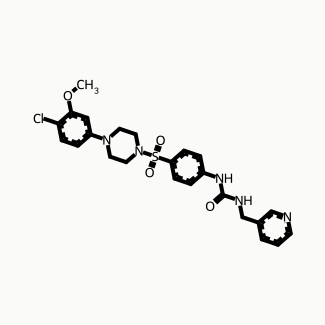 COc1cc(N2CCN(S(=O)(=O)c3ccc(NC(=O)NCc4cccnc4)cc3)CC2)ccc1Cl